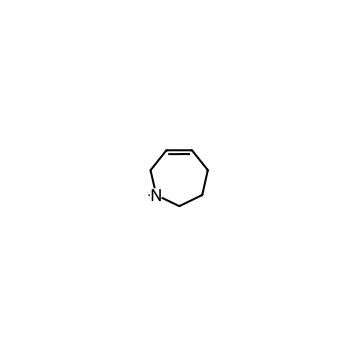 C1=CC[N]CCC1